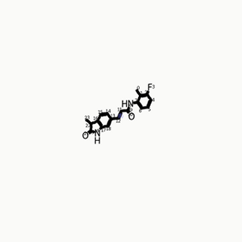 Cc1c(F)cccc1NC(=O)/C=C/c1ccc2c(c1)NC(=O)C2C